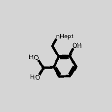 CCCCCCCCc1c(O)cccc1C(O)O